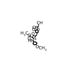 C#CCOc1ccc(C=C2SC(Nc3ccc(OCC)cc3)=C(C(=O)OCC)C2=O)cc1OC